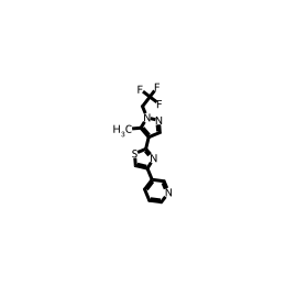 Cc1c(-c2nc(-c3cccnc3)cs2)cnn1CC(F)(F)F